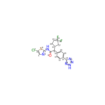 O=C(Nc1ncc(Cl)s1)C(c1ccc(-c2nn[nH]n2)cc1)C1CCC(F)(F)C1